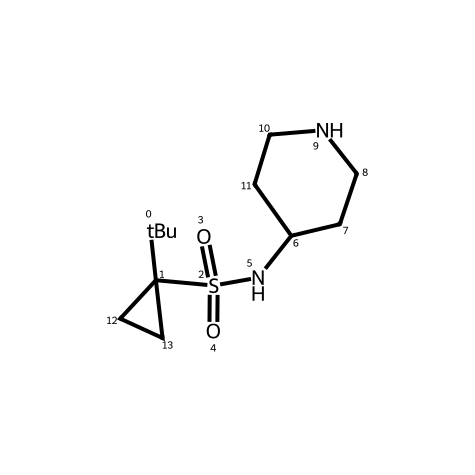 CC(C)(C)C1(S(=O)(=O)NC2CCNCC2)CC1